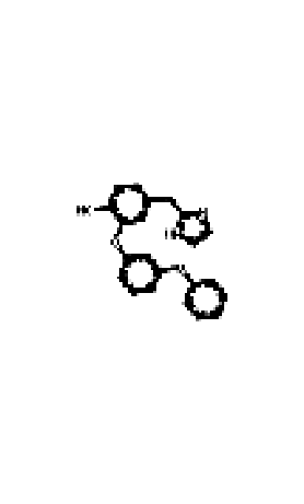 N#Cc1ccc(Cc2ncc[nH]2)cc1Oc1cccc(Oc2ccccc2)c1